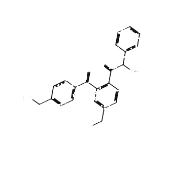 O=C(c1ccc(CO)cc1)c1cc(CO)ccc1C(=O)C(O)c1ccccc1